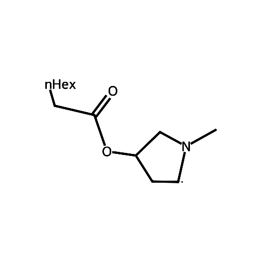 CCCCCCCC(=O)OC1C[CH]N(C)C1